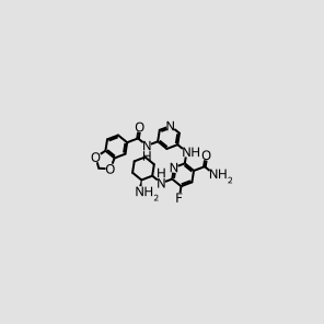 NC(=O)c1cc(F)c(NC2CCCC[C@@H]2N)nc1Nc1cncc(NC(=O)c2ccc3c(c2)OCO3)c1